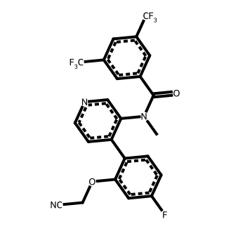 CN(C(=O)c1cc(C(F)(F)F)cc(C(F)(F)F)c1)c1cnccc1-c1ccc(F)cc1OCC#N